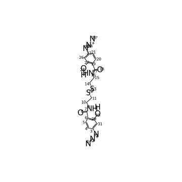 [N-]=[N+]=Nc1ccc(C(=O)NCCSSCCNC(=O)c2ccc(N=[N+]=[N-])cc2O)c(O)c1